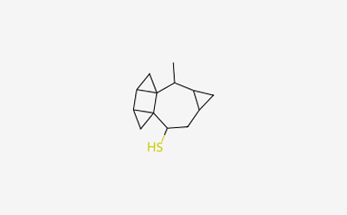 CC1C2CC2CC(S)C23CC2C2CC123